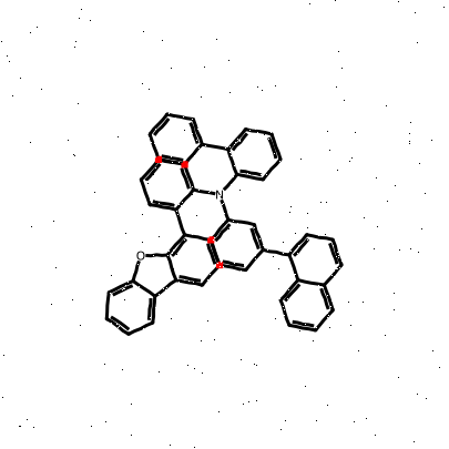 c1ccc(-c2ccccc2N(c2cccc(-c3cccc4ccccc34)c2)c2ccccc2-c2cccc3c2oc2ccccc23)cc1